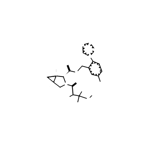 COC(C)(C)C(O)C(=O)N1C[C@H]2C[C@H]2[C@H]1C(=O)NCc1cc(Cl)ccc1-n1cnnn1